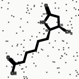 C[C@@H]1CC(=O)N[C@@H]1CCCCCC(=O)O